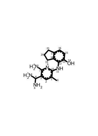 Cc1cc(C(N)N)c(N)nc1Nc1c(O)ccc2c1CCC2